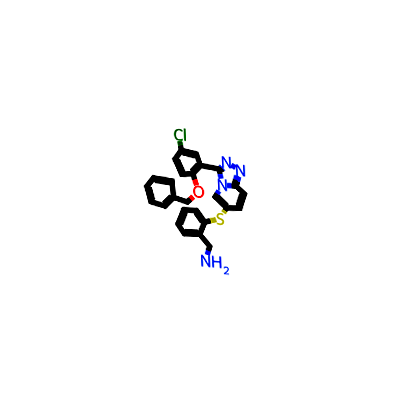 NCc1ccccc1Sc1ccc2nnc(-c3cc(Cl)ccc3OCc3ccccc3)n2c1